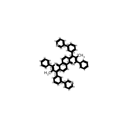 Cc1c(-c2ccccc2)nc2c(ccc3c2ccc2c(-c4cccc(-c5cccnc5)c4)c(C)c(-c4ccccc4)nc23)c1-c1cccc(-c2cccnc2)c1